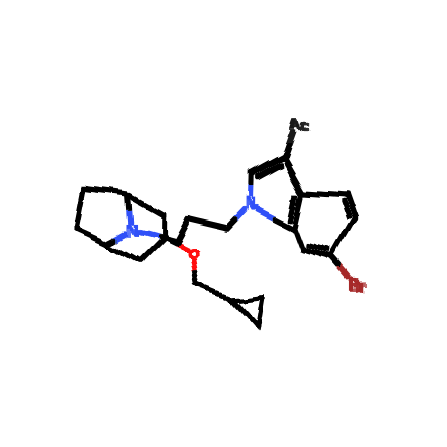 CC(=O)c1cn(CCCN2C3CCC2CC(OCC2CC2)C3)c2cc(Br)ccc12